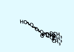 CCOP(=O)(N(C)C)N1CCN(C(=O)OCCOCCOCCO)CC1